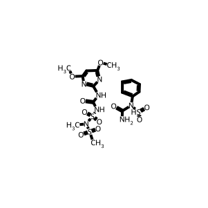 COc1cc(OC)nc(NC(=O)NS(=O)(=O)N(C)S(C)(=O)=O)n1.NC(=O)N(c1ccccc1)[SH](=O)=O